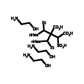 CCCCCCC(CC)C(C(=O)O)(C(CC)CCCCCC)C(C(=O)O)S(=O)(=O)O.NCCO.NCCO.NCCO